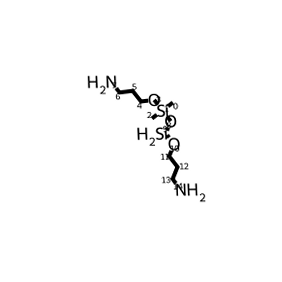 C[Si](C)(OCCCN)O[SiH2]OCCCN